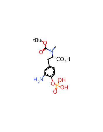 CN(C(=O)OC(C)(C)C)[C@@H](Cc1ccc(OP(=O)(O)O)c(N)c1)C(=O)O